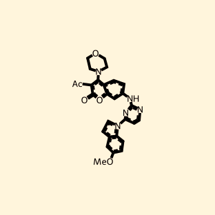 COc1ccc2c(ccn2-c2ccnc(Nc3ccc4c(N5CCOCC5)c(C(C)=O)c(=O)oc4c3)n2)c1